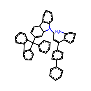 Nc1ccccc1/C(=C\CN1c2ccccc2C2C=CC(C3(c4ccccc4)c4ccccc4-c4ccccc43)=CC21)c1ccc(-c2ccccc2)cc1